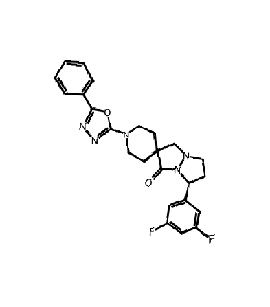 O=C1N2[C@H](c3cc(F)cc(F)c3)CCN2CC12CCN(c1nnc(-c3ccccc3)o1)CC2